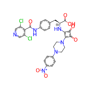 O=C(Nc1ccc(C[C@H](Nc2c(N3CCN(c4ccc([N+](=O)[O-])cc4)CC3)c(=O)c2=O)C(=O)O)cc1)c1c(Cl)cncc1Cl